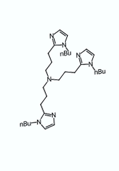 CCCCn1ccnc1CCCN(CCCc1nccn1CCCC)CCCc1nccn1CCCC